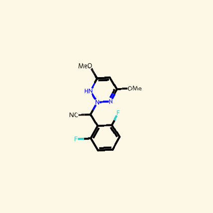 COC1=CC(OC)=NN(C(C#N)c2c(F)cccc2F)N1